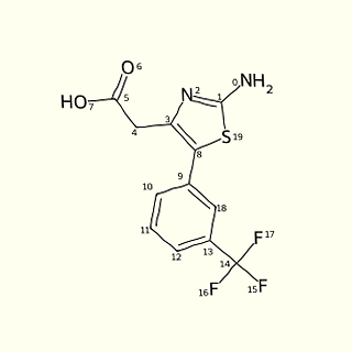 Nc1nc(CC(=O)O)c(-c2cccc(C(F)(F)F)c2)s1